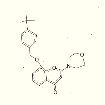 CC(C)(C)c1ccc(COc2cccc3c(=O)cc(N4CCOCC4)oc23)cc1